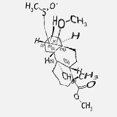 COC(=O)[C@]1(C)CCC[C@@]2(C)[C@@H]3C[C@@H]4CC[C@@]3(CC[C@@H]21)[C@H](OC)[C@H]4C[S+](C)[O-]